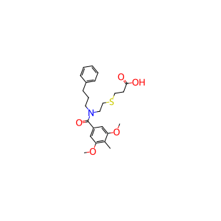 COc1cc(C(=O)N(CCCc2ccccc2)CCSCCC(=O)O)cc(OC)c1C